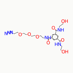 [N-]=[N+]=NCCOCCOCCOCCNC(=O)c1cc(C(=O)NCCO)cc(C(=O)NCCO)c1